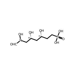 O=CN(O)C[C@H](O)C[C@H](O)CCP(=O)(O)O